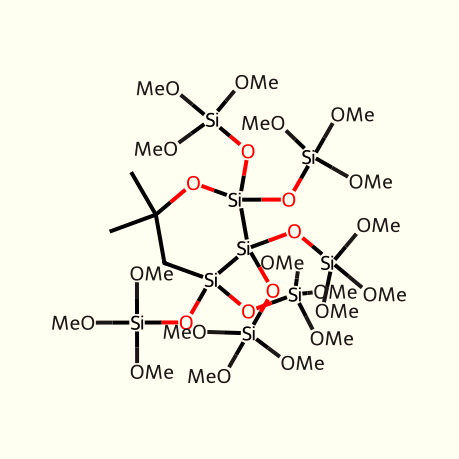 CO[Si](OC)(OC)O[Si]1(O[Si](OC)(OC)OC)CC(C)(C)O[Si](O[Si](OC)(OC)OC)(O[Si](OC)(OC)OC)[Si]1(O[Si](OC)(OC)OC)O[Si](OC)(OC)OC